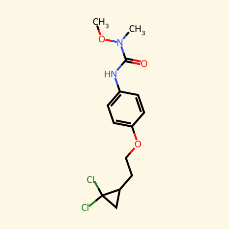 CON(C)C(=O)Nc1ccc(OCCC2CC2(Cl)Cl)cc1